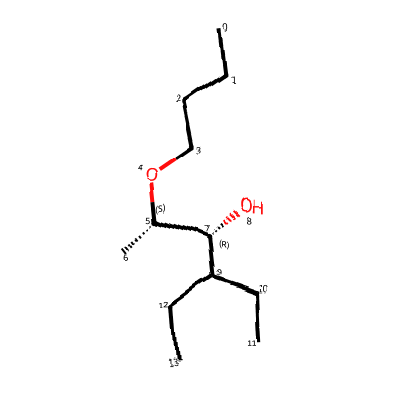 CCCCO[C@@H](C)[C@H](O)C(CC)CC